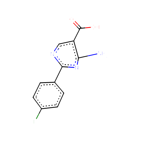 Nc1nc(-c2ccc(F)cc2)ncc1C(=O)O